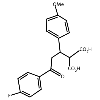 COc1ccc(C(CC(=O)c2ccc(F)cc2)C(C(=O)O)C(=O)O)cc1